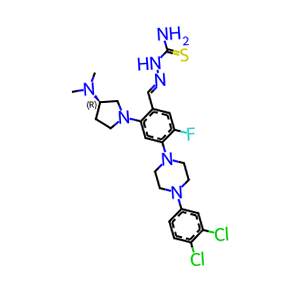 CN(C)[C@@H]1CCN(c2cc(N3CCN(c4ccc(Cl)c(Cl)c4)CC3)c(F)cc2C=NNC(N)=S)C1